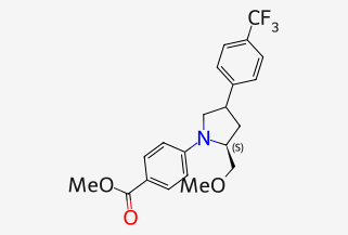 COC[C@@H]1CC(c2ccc(C(F)(F)F)cc2)CN1c1ccc(C(=O)OC)cc1